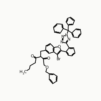 CCCCC(=O)C(Cc1ccc2oc(-c3ccccc3-c3nnn(C(c4ccccc4)(c4ccccc4)c4ccccc4)n3)c(Br)c2c1)C(=O)COCc1ccccc1